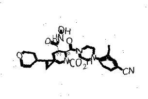 Cc1cc(C#N)ccc1N1CCN(C(=O)[C@@H]2[C@@H](C(=O)NO)CC3(CC3C3CCOCC3)CN2C(=O)O)CC1